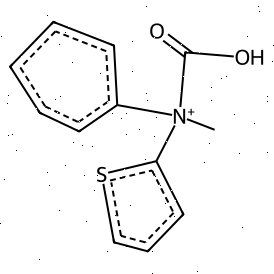 C[N+](C(=O)O)(c1ccccc1)c1cccs1